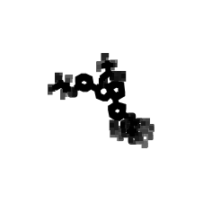 CC(C)(C)[Si](C)(C)Oc1cccc(-c2cccc3c2CCC(c2cccc(OC(F)(F)C(F)F)c2)N3CC(O)C(F)(F)F)c1